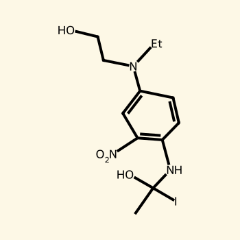 CCN(CCO)c1ccc(NC(C)(O)I)c([N+](=O)[O-])c1